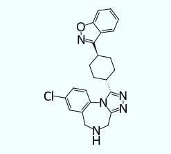 Clc1ccc2c(c1)CNCc1nnc([C@H]3CC[C@H](c4noc5ccccc54)CC3)n1-2